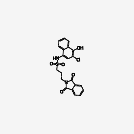 O=C1c2ccccc2C(=O)N1CCCS(=O)(=O)Nc1cc(Cl)c(O)c2ccccc12